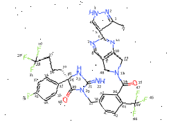 Cc1n[nH]cc1-c1ncc2c(n1)CN(C(=O)c1cc(CN3C(=N)N[C@](CCCC(F)(F)F)(c4ccc(F)cc4)C3=O)ccc1C(F)(F)F)C2